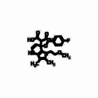 COCCn1c(C)c(C)c2c1C(OCc1ccc(F)cc1)(C(C(=O)O)C(=O)O)C=CN2